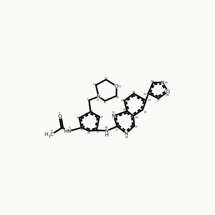 CC(=O)Nc1cc(CN2CCOCC2)cc(Nc2ncc3cc(-c4cnoc4)ccc3n2)c1